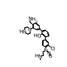 CNCCN(N=O)c1ccc(-c2cccc(-c3ccc(CN)c(N4CCNCC4)c3)c2O)cc1Cl